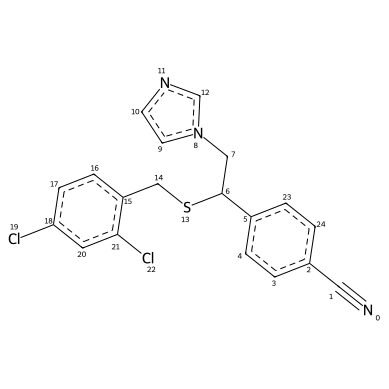 N#Cc1ccc(C(Cn2ccnc2)SCc2ccc(Cl)cc2Cl)cc1